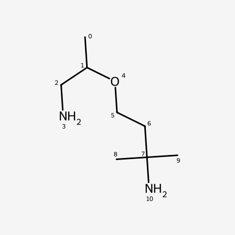 CC(CN)OCCC(C)(C)N